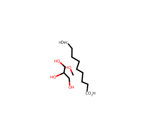 CCCCCCCCCCCCCCCCCC(=O)O.CO.OCC(O)CO